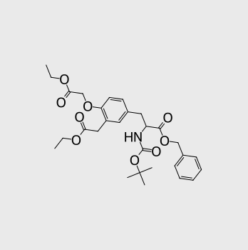 CCOC(=O)COc1ccc(CC(NC(=O)OC(C)(C)C)C(=O)OCc2ccccc2)cc1CC(=O)OCC